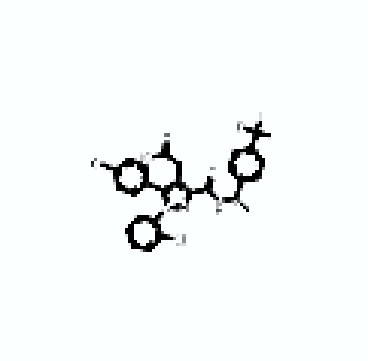 C[C@@H](NC(=O)c1nn(-c2ccccc2Cl)c(-c2ccc(Cl)cc2)c1CC(=O)O)c1ccc(C(F)(F)F)cc1